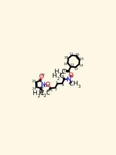 C=C(CCCC(=C)N(C)OC(=C)C1CC/C=C\CCC1)ON1C(=C)C=CC1=O